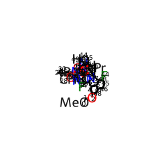 COCOc1cc(-c2ncc3c(N4C[C@H]5CC[C@@H](C4)N5C(=O)OC(C)(C)C)nc(OCC4(C=O)CC4)nc3c2F)c2c(C#C[Si](C(C)C)(C(C)C)C(C)C)c(F)ccc2c1